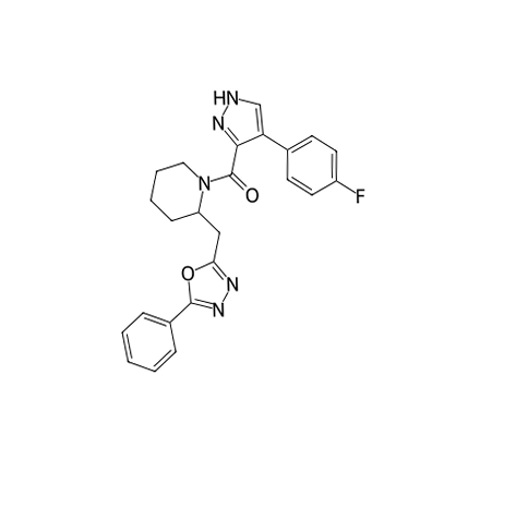 O=C(c1n[nH]cc1-c1ccc(F)cc1)N1CCCCC1Cc1nnc(-c2ccccc2)o1